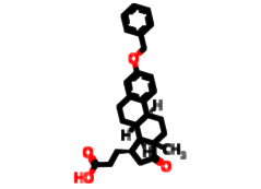 C[C@]12CC[C@@H]3c4ccc(OCc5ccccc5)cc4CC[C@H]3[C@@H]1[C@H](CCC(=O)O)CC2=O